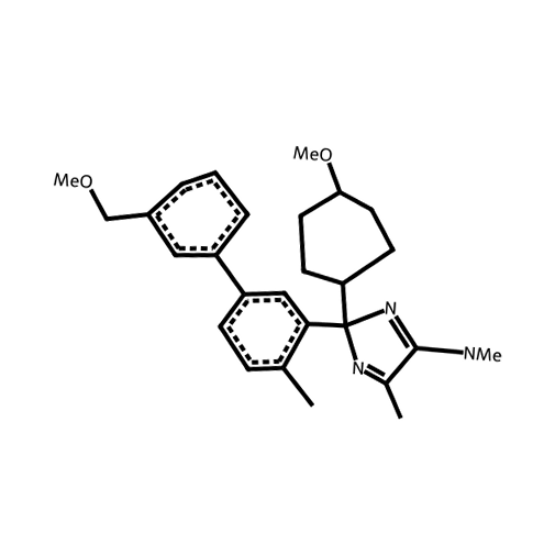 CNC1=NC(c2cc(-c3cccc(COC)c3)ccc2C)(C2CCC(OC)CC2)N=C1C